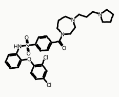 O=C(c1ccc(S(=O)(=O)Nc2ccccc2Oc2ccc(Cl)cc2Cl)cc1)N1CCCN(CCCN2CCCC2)CC1